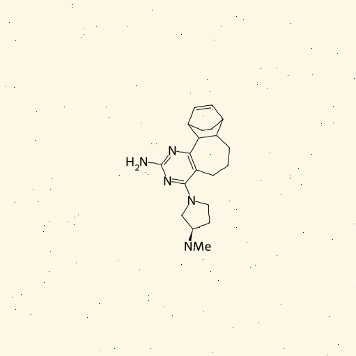 CN[C@@H]1CCN(c2nc(N)nc3c2CCCC2C4C=CC(CC4)C32)C1